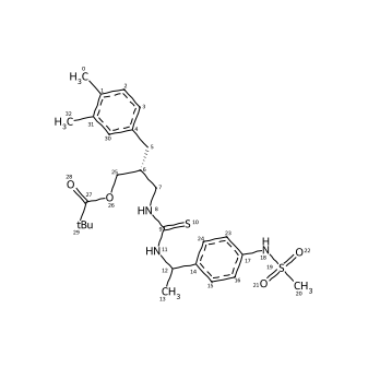 Cc1ccc(C[C@H](CNC(=S)NC(C)c2ccc(NS(C)(=O)=O)cc2)COC(=O)C(C)(C)C)cc1C